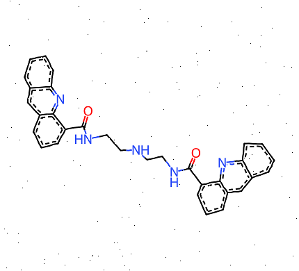 O=C(NCCNCCNC(=O)c1cccc2cc3ccccc3nc12)c1cccc2cc3ccccc3nc12